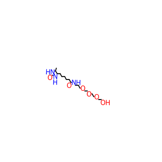 CC1NC(=O)NC1CCCCCC(=O)NCCCOCCOCCOCCO